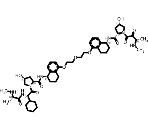 CN[C@@H](C)C(=O)N[C@H](C(=O)N1C[C@@H](O)C[C@H]1C(=O)N[C@@H]1CCCc2c(OCCOCCOc3cccc4c3CCC[C@H]4NC(=O)[C@@H]3C[C@H](O)CN3C(=O)C(=O)[C@H](C)NC)cccc21)C1CCCCC1